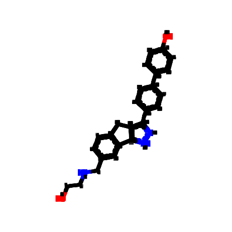 OCCNCc1ccc2c(c1)-c1[nH]nc(-c3ccc(-c4ccc(O)cc4)cc3)c1C2